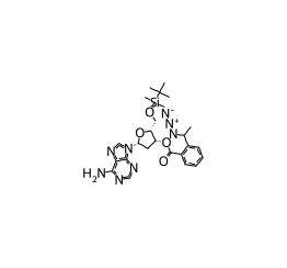 CC(N=[N+]=[N-])c1ccccc1C(=O)O[C@@H]1C[C@H](n2cnc3c(N)ncnc32)O[C@@H]1CO[Si](C)(C)C(C)(C)C